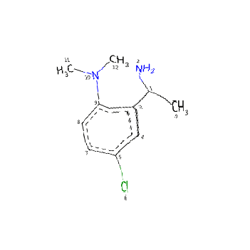 CC(N)c1cc(Cl)ccc1N(C)C